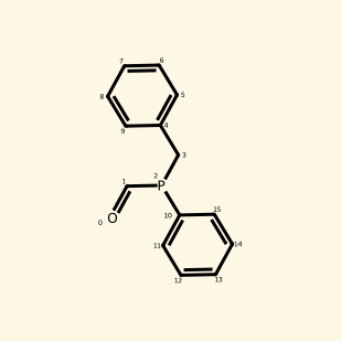 O=CP(Cc1ccccc1)c1ccccc1